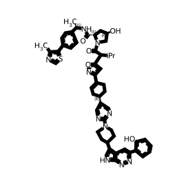 Cc1ncsc1-c1ccc([C@H](C)NC(=O)[C@@H]2C[C@@H](O)CN2C(=O)C(c2cc(C3=CC[C@H](c4cnc(N5CCC(c6c[nH]c7nnc(-c8ccccc8O)cc67)CC5)nc4)CC3)no2)C(C)C)cc1